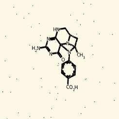 CC12CC3CNC4=NC(N)=NC(=O)C4(N1c1ccc(C(=O)O)cc1)N32